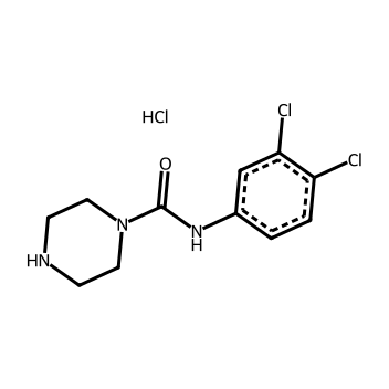 Cl.O=C(Nc1ccc(Cl)c(Cl)c1)N1CCNCC1